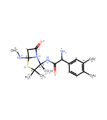 CC(=O)Oc1ccc(C(N)C(=O)N[C@@]2(C(=O)O)N3C(=O)CC3(NC=O)SC2(C)C)cc1OC(C)=O